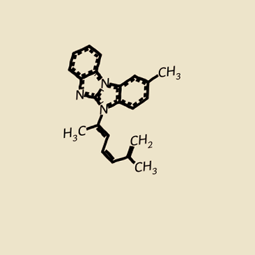 C=C(C)/C=C\C=C(/C)n1c2ccc(C)cc2n2c3ccccc3nc12